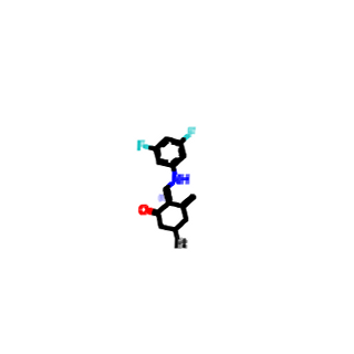 C=C1CC(CC)CC(=O)/C1=C/Nc1cc(F)cc(F)c1